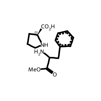 COC(=O)C(N)Cc1ccccc1.O=C(O)[C@@H]1CCCN1